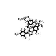 Cc1cc(C)c(N2CCN(c3c(C)cc(C)cc3C)[C]2=[Ru-2]=[CH]c2cc(S(=O)(=O)N(C)C)ccc2OC(C)C)c(C)c1